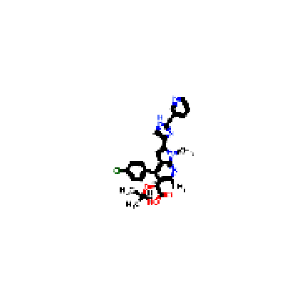 Cc1nc2c(cc(-c3c[nH]c(-c4cccnc4)n3)n2C)c(-c2ccc(Cl)cc2)c1[C@H](OC(C)(C)C)C(=O)O